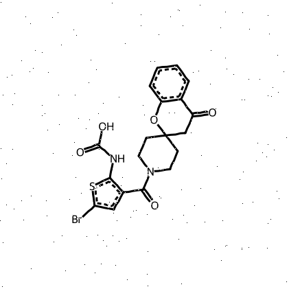 O=C(O)Nc1sc(Br)cc1C(=O)N1CCC2(CC1)CC(=O)c1ccccc1O2